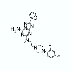 CN(CCN1CCN(c2ccc(F)cc2F)CC1)c1nc(N)n2nc(-c3ccco3)nc2n1